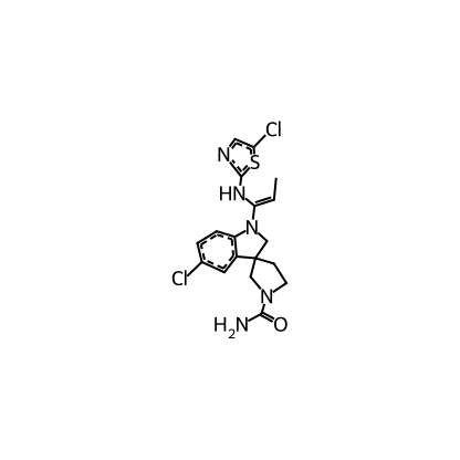 CC=C(Nc1ncc(Cl)s1)N1CC2(CCN(C(N)=O)C2)c2cc(Cl)ccc21